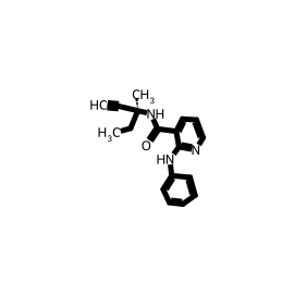 C#C[C@](C)(CC)NC(=O)c1cccnc1Nc1ccccc1